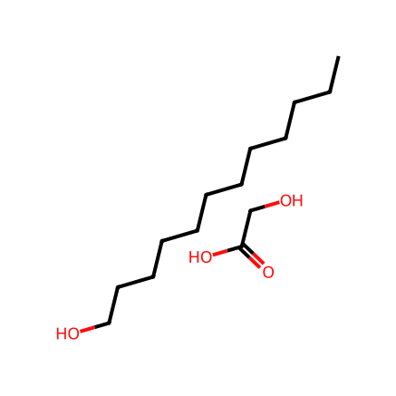 CCCCCCCCCCCCO.O=C(O)CO